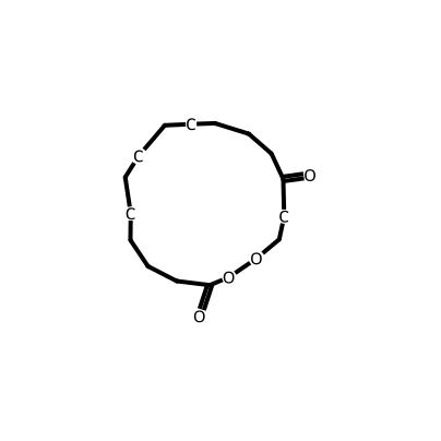 O=C1CCCCCCCCCCCC(=O)OOCC1